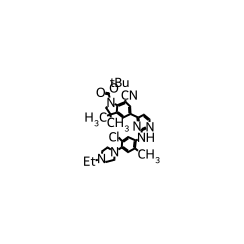 CCN1CCN(c2cc(C)c(Nc3nccc(-c4cc(C#N)c5c(c4)C(C)(C)CN5C(=O)OC(C)(C)C)n3)cc2Cl)CC1